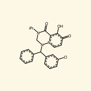 CC(C)N1CN(C(c2ccccc2)c2cccc(Cl)c2)n2ccc(=O)c(O)c2C1=O